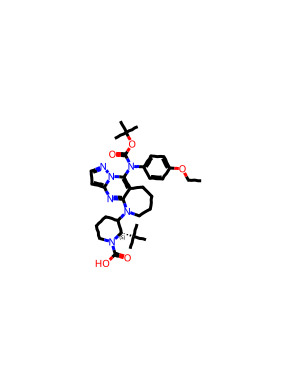 CCOc1ccc(N(C(=O)OC(C)(C)C)c2c3c(nc4ccnn24)N(C2CCCN(C(=O)O)[C@H]2C(C)(C)C)CCCC3)cc1